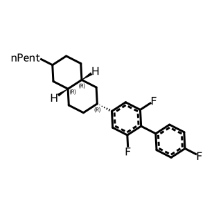 CCCCCC1CC[C@@H]2C[C@H](c3cc(F)c(-c4ccc(F)cc4)c(F)c3)CC[C@@H]2C1